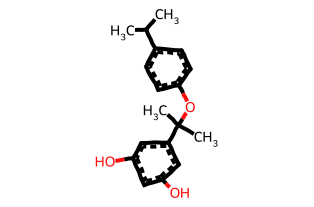 CC(C)c1ccc(OC(C)(C)c2cc(O)cc(O)c2)cc1